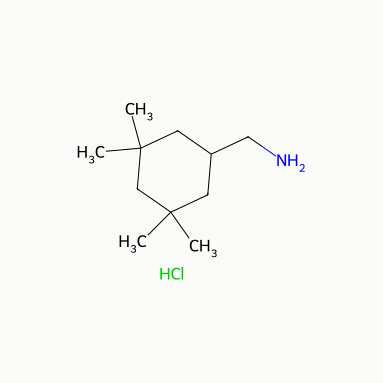 CC1(C)CC(CN)CC(C)(C)C1.Cl